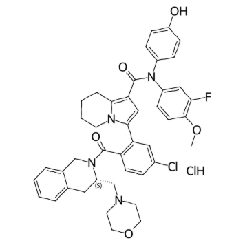 COc1ccc(N(C(=O)c2cc(-c3cc(Cl)ccc3C(=O)N3Cc4ccccc4C[C@H]3CN3CCOCC3)n3c2CCCC3)c2ccc(O)cc2)cc1F.Cl